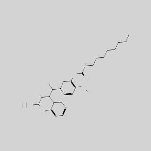 CCCCCCCCCC(=O)OC1=C(OC)C=CC(C(C)C2CC(O)OC3=CC=CCC32)C1